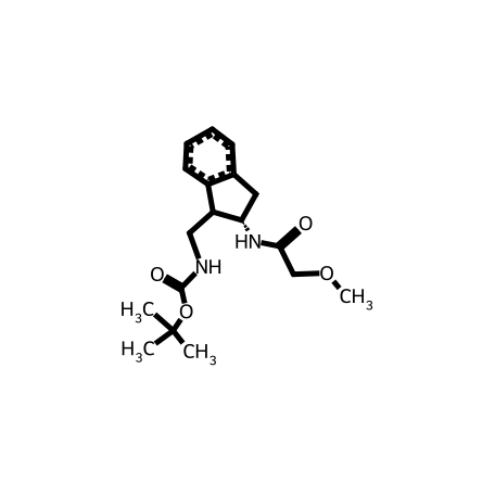 COCC(=O)N[C@H]1Cc2ccccc2C1CNC(=O)OC(C)(C)C